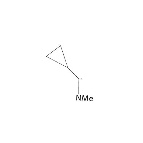 CN[CH]C1CC1